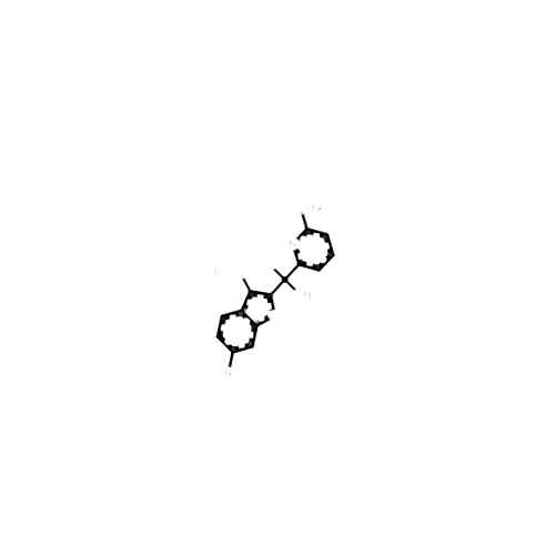 [C-]#[N+]c1ccc2c(C(=O)O)c(C(C)(C)c3cccc(OC)n3)oc2c1